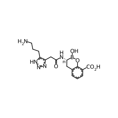 NCCCc1[nH]nnc1CC(=O)N[C@H]1Cc2cccc(C(=O)O)c2OB1O